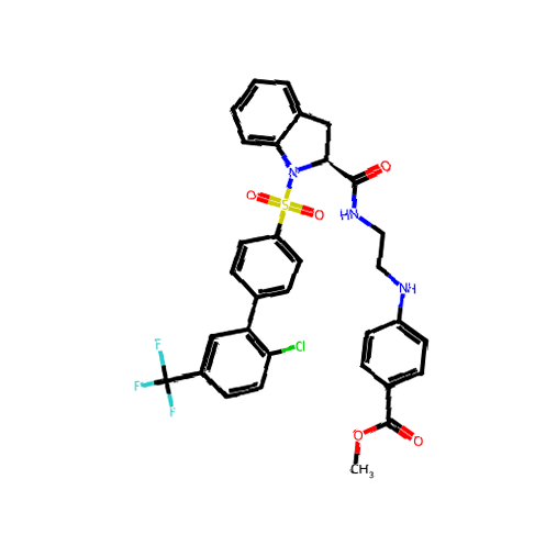 COC(=O)c1ccc(NCCNC(=O)[C@@H]2Cc3ccccc3N2S(=O)(=O)c2ccc(-c3cc(C(F)(F)F)ccc3Cl)cc2)cc1